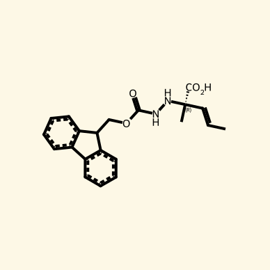 CC=C[C@@](C)(NNC(=O)OCC1c2ccccc2-c2ccccc21)C(=O)O